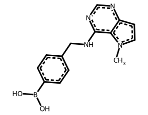 Cn1ccc2ncnc(NCc3ccc(B(O)O)cc3)c21